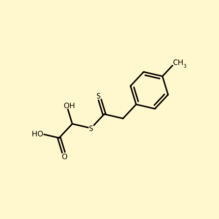 Cc1ccc(CC(=S)SC(O)C(=O)O)cc1